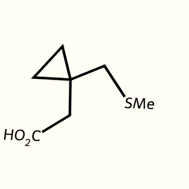 CSCC1(CC(=O)O)CC1